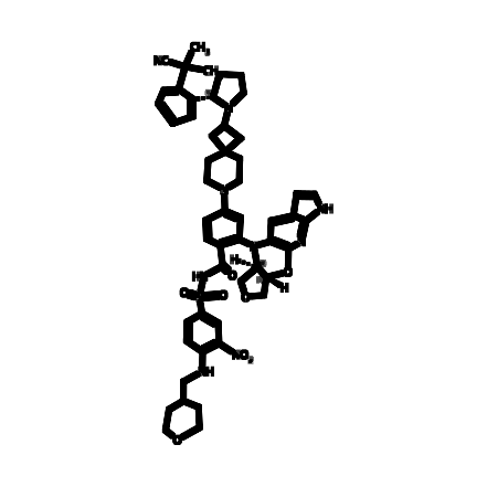 CC(C)(C#N)c1ccccc1[C@@H]1CCCN1C1CC2(CCN(c3ccc(C(=O)NS(=O)(=O)c4ccc(NCC5CCOCC5)c([N+](=O)[O-])c4)c(N4c5cc6cc[nH]c6nc5O[C@@H]5COC[C@H]54)c3)CC2)C1